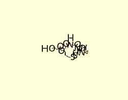 O=C1C[C@H](OC(=O)CCO)/C=C/CCSSC[C@H](C(=O)NC2CC2)NC(=O)CN1